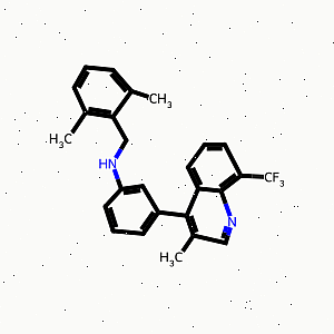 Cc1cccc(C)c1CNc1cccc(-c2c(C)cnc3c(C(F)(F)F)cccc23)c1